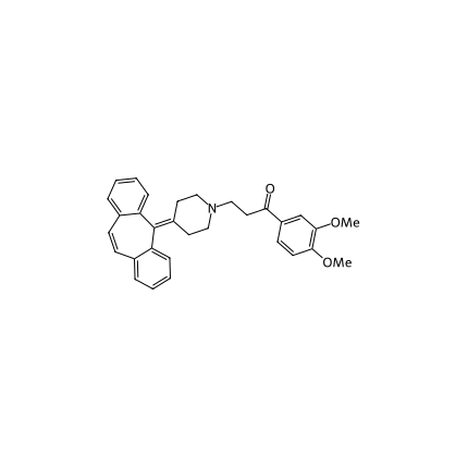 COc1ccc(C(=O)CCN2CCC(=C3c4ccccc4C=Cc4ccccc43)CC2)cc1OC